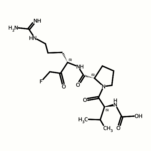 CC(C)[C@H](NC(=O)O)C(=O)N1CCC[C@H]1C(=O)N[C@@H](CCCNC(=N)N)C(=O)CF